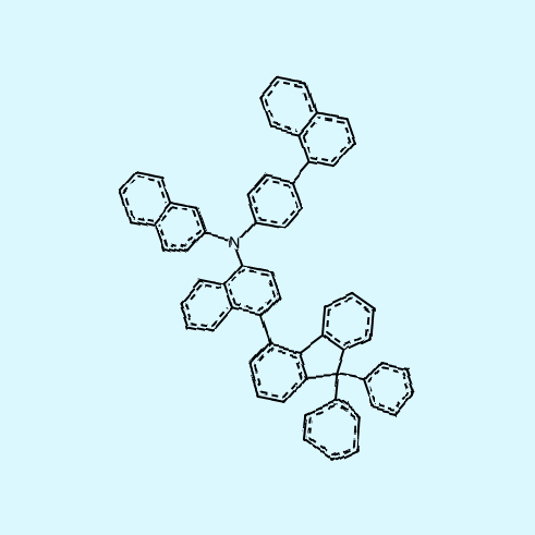 c1ccc(C2(c3ccccc3)c3ccccc3-c3c(-c4ccc(N(c5ccc(-c6cccc7ccccc67)cc5)c5ccc6ccccc6c5)c5ccccc45)cccc32)cc1